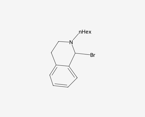 CCCCCCN1CCc2ccccc2C1Br